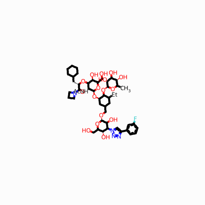 CCC1CC(CO[C@H]2OC(CO)[C@@H](O)C(n3cc(-c4cccc(F)c4)nn3)C2O)C[C@@H](O[C@@H]2OC(CO)[C@H](O)C(O[C@@H](CC3CCCCC3)C(=O)N3CCC3)C2NC(C)=O)C1O[C@@H]1OC(C)[C@@H](O)C(O)C1O